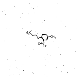 CCCSc1ccc(C)cc1[N+](=O)[O-]